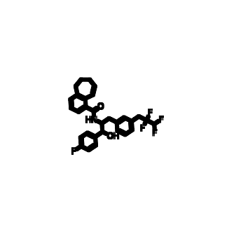 O=C(NC(Cc1cccc(CC(F)(F)C(F)F)c1)C(O)c1ccc(F)cc1)c1cccc2c1C=CCCC2